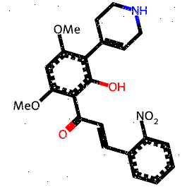 COc1cc(OC)c(C2=CCNCC2)c(O)c1C(=O)/C=C/c1ccccc1[N+](=O)[O-]